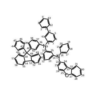 c1ccc(-c2cccc(N(c3cccc(N(c4ccccc4)c4ccc5oc6ccccc6c5c4)c3)c3cccc(C4(c5ccccc5)c5ccccc5-c5ccccc54)c3)c2)cc1